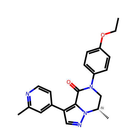 CCOc1ccc(N2C[C@H](C)n3ncc(-c4ccnc(C)c4)c3C2=O)cc1